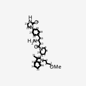 COCCCn1c([C@@H]2CCCN(C(=O)C[C@H](N)Cc3ccc(N4CCNC4=O)cc3)C2)c(C)c2ccccc21